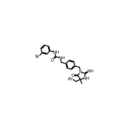 CC(C)CC1(C)NC(=N)N(Cc2ccc(CNC(=O)Nc3cccc(Br)c3)cc2)C1=O